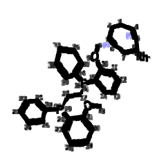 C1=C\CC/C=C\CC/1.COc1ccccc1[P@](CC[P@](c1ccccc1)c1ccccc1OC)c1ccccc1.[Rh]